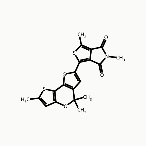 Cc1cc2c(s1)-c1sc(-c3sc(C)c4c3C(=O)N(C)C4=O)cc1C(C)(C)O2